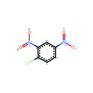 O=[N+]([O-])c1[c]cc(F)c([N+](=O)[O-])c1